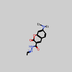 C/C=N/NC(=O)c1cc2ccc(N(CC)CC)cc2oc1=O